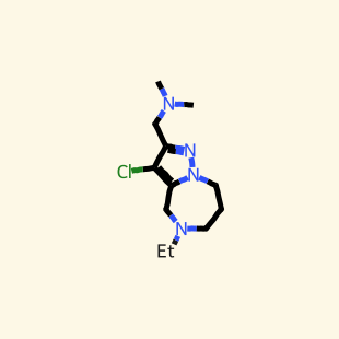 CCN1CCCn2nc(CN(C)C)c(Cl)c2C1